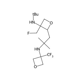 CC(C)(C)NC1(CF)COC1CC(C)(C)NC1(C(F)(F)F)COC1